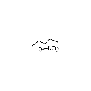 CCCCC.O=[N+]([O-])[O-].[Co]